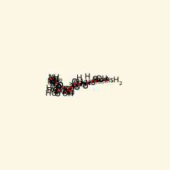 CC(C)(COP(=O)(O)OP(=O)(O)OC[C@H]1O[C@@H](n2cnc3c(N)ncnc32)[C@H](O)[C@@H]1OP(=O)(O)O)[C@@H](O)C(=O)NCCC(=O)NCCSC(=O)CC(O)CCC[AsH2]